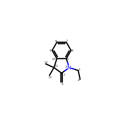 C=C1N(CC)c2ccccc2C1(C)C